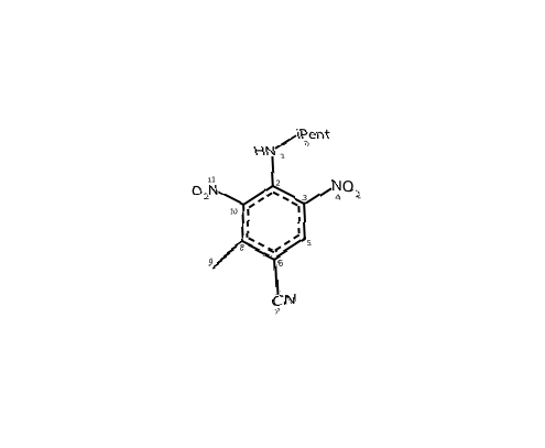 CCCC(C)Nc1c([N+](=O)[O-])cc(C#N)c(C)c1[N+](=O)[O-]